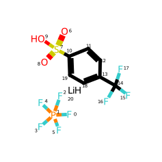 FP(F)(F)(F)F.O=S(=O)(O)c1ccc(C(F)(F)F)cc1.[LiH]